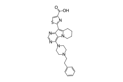 O=C(O)c1csc(-c2c3n(c4c(N5CCN(CCc6ccccc6)CC5)ncnc24)CCCC3)n1